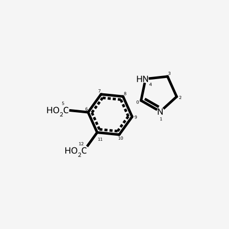 C1=NCCN1.O=C(O)c1ccccc1C(=O)O